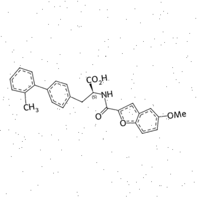 COc1ccc2oc(C(=O)N[C@@H](Cc3ccc(-c4ccccc4C)cc3)C(=O)O)cc2c1